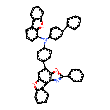 c1ccc(-c2ccc(N(c3ccc(-c4cc5oc6ccccc6c5c5nc(-c6ccccc6)oc45)cc3)c3cccc4c3oc3ccccc34)cc2)cc1